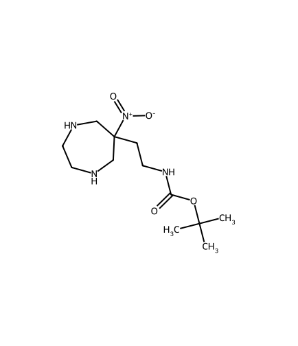 CC(C)(C)OC(=O)NCCC1([N+](=O)[O-])CNCCNC1